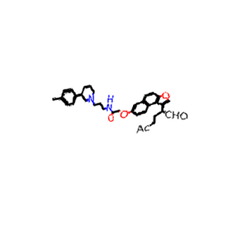 CC(=O)CCC(C=O)c1coc2ccc3cc(OCC(=O)NCCCN4CCCC(c5ccc(C)cc5)C4)ccc3c12